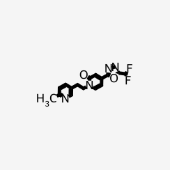 Cc1ccc(CCn2ccc(-c3nnc(C(F)F)o3)cc2=O)cn1